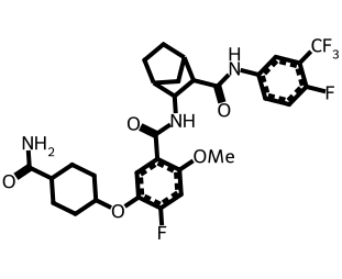 COc1cc(F)c(OC2CCC(C(N)=O)CC2)cc1C(=O)NC1C2CCC(C2)C1C(=O)Nc1ccc(F)c(C(F)(F)F)c1